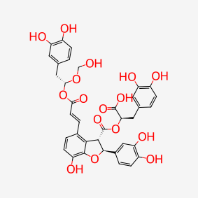 O=C(/C=C/c1ccc(O)c2c1[C@H](C(=O)O[C@H](Cc1ccc(O)c(O)c1)C(=O)O)[C@@H](c1ccc(O)c(O)c1)O2)O[C@H](Cc1ccc(O)c(O)c1)OCO